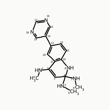 CNC1=CC(NC)(NC)Nc2ccc(-c3cncnc3)cc21